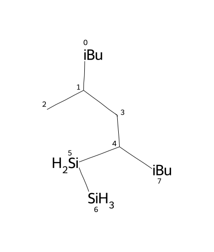 CCC(C)C(C)CC([SiH2][SiH3])C(C)CC